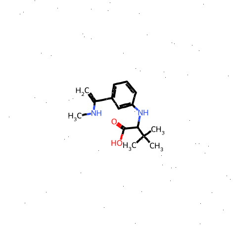 C=C(NC)c1cccc(NC(C(=O)O)C(C)(C)C)c1